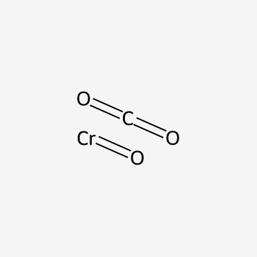 O=C=O.[O]=[Cr]